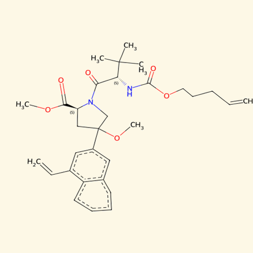 C=CCCCOC(=O)N[C@H](C(=O)N1CC(OC)(c2cc(C=C)c3ccccc3c2)C[C@H]1C(=O)OC)C(C)(C)C